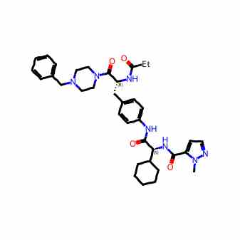 CCC(=O)N[C@H](Cc1ccc(NC(=O)[C@@H](NC(=O)c2ccnn2C)C2CCCCC2)cc1)C(=O)N1CCN(Cc2ccccc2)CC1